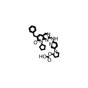 O=C(O)OC1CCCN1c1ccc(Nc2ncc3cc(Cc4ccccc4)c(=O)n(C4CCCC4)c3n2)nc1